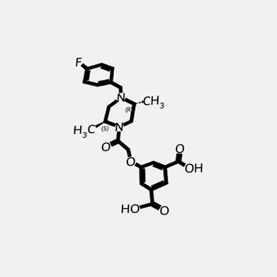 C[C@@H]1CN(C(=O)COc2cc(C(=O)O)cc(C(=O)O)c2)[C@@H](C)CN1Cc1ccc(F)cc1